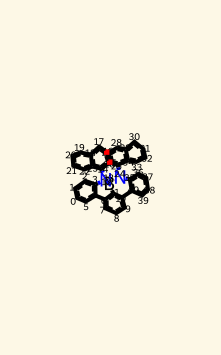 c1ccc2c(c1)-c1cccc3c1B(N2c1cccc2ccccc12)N(c1cccc2ccccc12)c1ccccc1-3